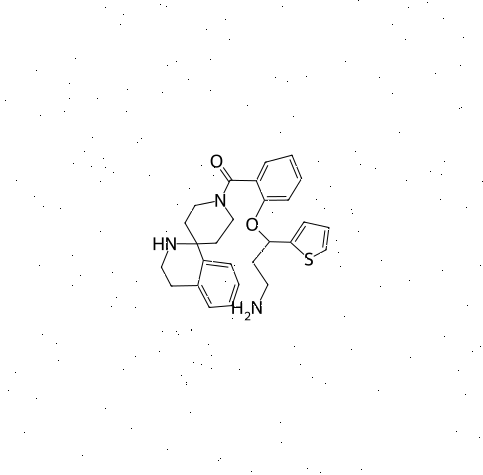 NCCC(Oc1ccccc1C(=O)N1CCC2(CC1)NCCc1ccccc12)c1cccs1